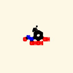 O=NN(O)c1cccc(O)c1O.[Al]